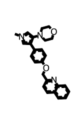 Cn1cc(-c2ccc(OCc3ccc4ccccc4n3)cc2)c(N2CCOCC2)c1